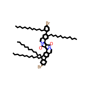 CCCCCCCCCCCCc1cc(Br)ccc1-c1cc2c(cc1CCCCCCCCCCCC)C1=C3C(=O)N4C=Cc5cc6c(cc5C4=C3C(=O)N1C=C2)C(CCCCCCCCCCCC)(CCCCCCCCCCCC)c1cc(Br)ccc1-6